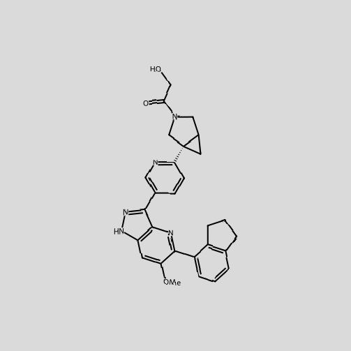 COc1cc2[nH]nc(-c3ccc([C@@]45CC4CN(C(=O)CO)C5)nc3)c2nc1-c1cccc2c1CCC2